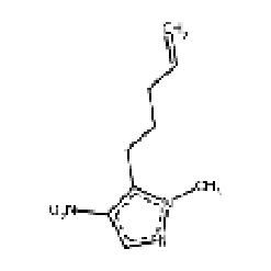 C=CCCCc1c([N+](=O)[O-])cnn1C